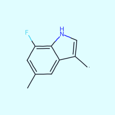 [CH2]c1c[nH]c2c(F)cc(C)cc12